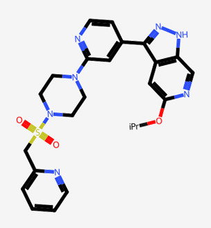 CC(C)Oc1cc2c(-c3ccnc(N4CCN(S(=O)(=O)Cc5ccccn5)CC4)c3)n[nH]c2cn1